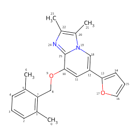 Cc1cccc(C)c1COc1cc(-c2ccco2)cn2c(C)c(C)nc12